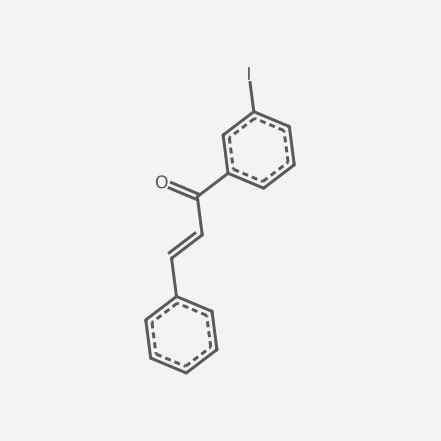 O=C(/C=C/c1ccccc1)c1cccc(I)c1